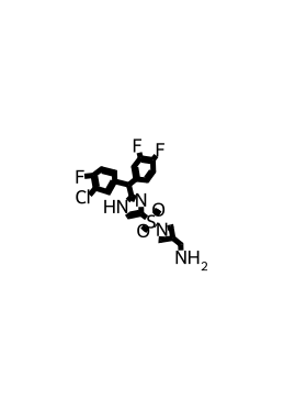 NCC1CN(S(=O)(=O)c2c[nH]c(C(c3ccc(F)c(F)c3)c3ccc(F)c(Cl)c3)n2)C1